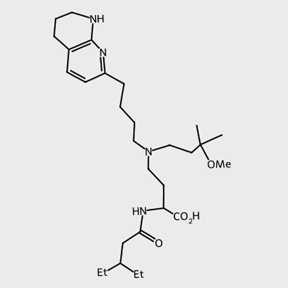 CCC(CC)CC(=O)NC(CCN(CCCCc1ccc2c(n1)NCCC2)CCC(C)(C)OC)C(=O)O